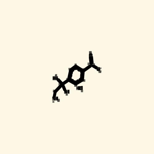 Cl.NCC(S)(S)c1ccc([N+](=O)[O-])cc1